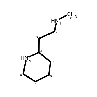 CNCCC1CCCCN1